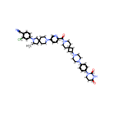 C[C@@H]1CC2(CCN(c3ccc(C(=O)N4CCC5(CC4)CC(N4CCN(c6ccc(N7CCC(=O)NC7=O)cc6)CC4)C5)nc3)CC2)CN1c1ccc(C#N)c(Cl)c1